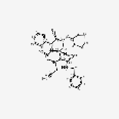 C#CCN1CC(=O)N2[C@@H](c3ccccc3)C(=O)N(CC3CCCCC3)C[C@@H]2N1C(=O)NCc1ccccc1